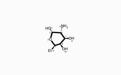 CC[C@H]1O[C@H](O)[C@H](N)[C@@H](O)[C@H]1O